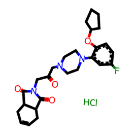 Cl.O=C(CN1CCN(c2cc(F)ccc2OC2CCCC2)CC1)CN1C(=O)C2CC=CCC2C1=O